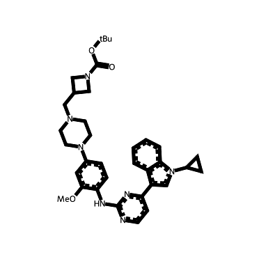 COc1cc(N2CCN(CC3CN(C(=O)OC(C)(C)C)C3)CC2)ccc1Nc1nccc(-c2cn(C3CC3)c3ccccc23)n1